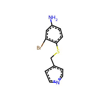 Nc1ccc(SCc2ccncc2)c(Br)c1